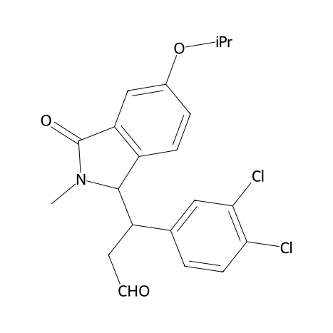 CC(C)Oc1ccc2c(c1)C(=O)N(C)C2C(CC=O)c1ccc(Cl)c(Cl)c1